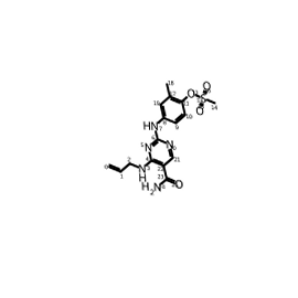 C=CCNc1nc(Nc2ccc(OS(C)(=O)=O)c(C)c2)ncc1C(N)=O